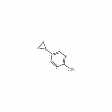 CC(C)(C)c1ccc(C2[CH]C2)cc1